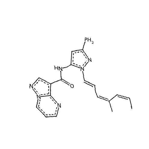 C\C=C/C(C)=C\C=C\n1nc(P)cc1NC(=O)c1cnn2cccnc12